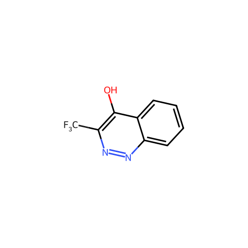 Oc1c(C(F)(F)F)nnc2ccccc12